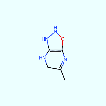 CC1=NC2=C(NC1)NNO2